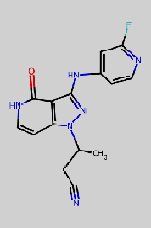 C[C@@H](CC#N)n1nc(Nc2ccnc(F)c2)c2c(=O)[nH]ccc21